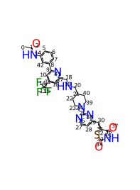 CC(=O)Nc1cccc(-c2cc(C(F)(F)F)cc(CNCC3CCN(c4nccc(/C=C5\SC(=O)NC5=O)n4)CC3)n2)c1